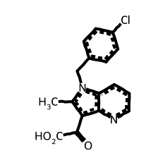 Cc1c(C(=O)C(=O)O)c2ncccc2n1Cc1ccc(Cl)cc1